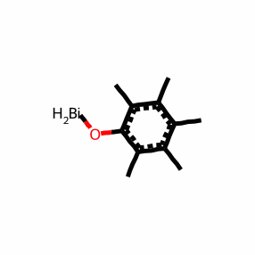 Cc1c(C)c(C)c([O][BiH2])c(C)c1C